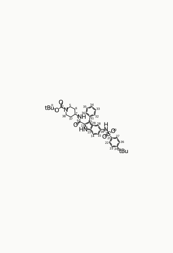 CC(C)(C)OC(=O)N1CCC(NC(=O)c2[nH]c3ccc(NS(=O)(=O)c4ccc(C(C)(C)C)cc4)cc3c2-c2ccccc2)CC1